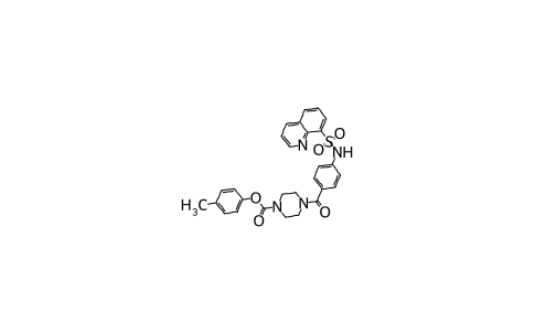 Cc1ccc(OC(=O)N2CCN(C(=O)c3ccc(NS(=O)(=O)c4cccc5cccnc45)cc3)CC2)cc1